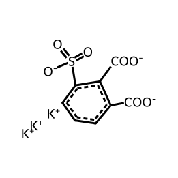 O=C([O-])c1cccc(S(=O)(=O)[O-])c1C(=O)[O-].[K+].[K+].[K+]